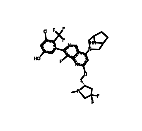 CN1CC(F)(F)C[C@H]1COc1cc(N2CC3CCC(C2)N3)c2cnc(-c3cc(O)cc(Cl)c3C(F)(F)F)c(F)c2n1